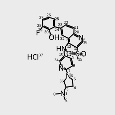 CN(C)C1CCN(c2ccc(Nc3c(S(C)(=O)=O)cnc4ccc(-c5cccc(F)c5O)cc34)cn2)C1.Cl